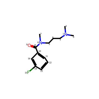 CN(C)CCCN(C)C(=O)c1cccc(F)c1